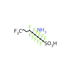 N.O=S(=O)(O)C(F)(F)C(F)(F)C(F)(F)C(F)(F)C(F)(F)C(F)CCC(F)(F)F